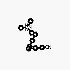 N#Cc1ccc(-c2ccc(C34CC5CC(C3)CC(c3ccc(-c6cccc7cc(-c8nc(-c9ccccc9)nc(-c9ccccc9)n8)ccc67)cc3)(C5)C4)cc2)cc1